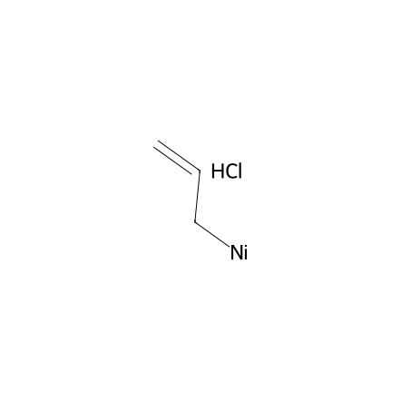 C=C[CH2][Ni].Cl